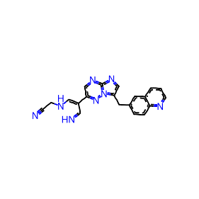 N#CCN/C=C(\C=N)c1cnc2ncc(Cc3ccc4ncccc4c3)n2n1